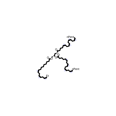 CC/C=C\C/C=C\C/C=C\CCCCCCCC(=O)OC[C@H](COC(=O)CCC/C=C\C/C=C\C/C=C\C/C=C\CCCCC)OC(=O)CCC/C=C\C/C=C\C/C=C\C/C=C\CCCCC